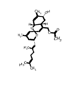 CC(=O)OCC1=C[C@]2(C=C(C)C[C@@H](/C=C(\C)CCC=C(C)C)O2)O[C@@H]2C=C(C)[C@H](O)C[C@H]12